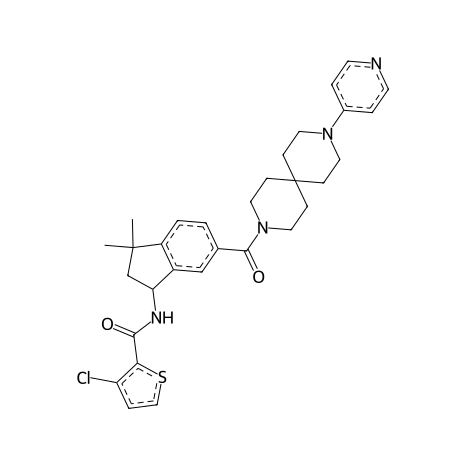 CC1(C)CC(NC(=O)c2sccc2Cl)c2cc(C(=O)N3CCC4(CC3)CCN(c3ccncc3)CC4)ccc21